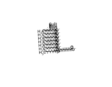 CCCCCCCCCC(=O)[O-].CCCCCCCCCC(=O)[O-].CCCCCCCCCC(=O)[O-].CCCCCCCCCC(=O)[O-].CCCCCCCCCC(=O)[O-].CCCCCCCCCC(=O)[O-].CCCCCCCCCC(=O)[O-].CCCCCCCCCC(=O)[O-].[Cu+2].[Cu+2].[Cu+2].[Cu+2]